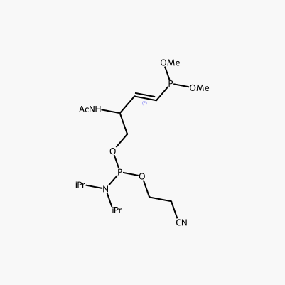 COP(/C=C/C(COP(OCCC#N)N(C(C)C)C(C)C)NC(C)=O)OC